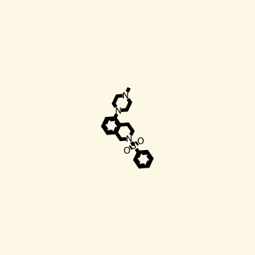 CN1CCN(c2cccc3c2CCN(S(=O)(=O)c2ccccc2)C3)CC1